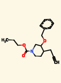 C#CCC1CCN(C(=O)OCCC)CC1OCc1ccccc1